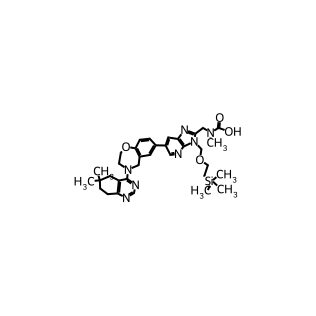 CN(Cc1nc2cc(-c3ccc4c(c3)CN(c3ncnc5c3CC(C)(C)CC5)CCO4)cnc2n1COCC[Si](C)(C)C)C(=O)O